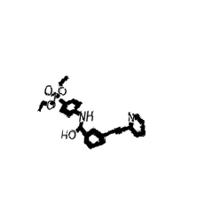 CCOP(=O)(OCC)c1ccc(NC(O)c2cccc(C#Cc3ccccn3)c2)cc1